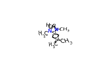 CN(C)[Si]1(N(C)C)C[Si](C)(C)C1